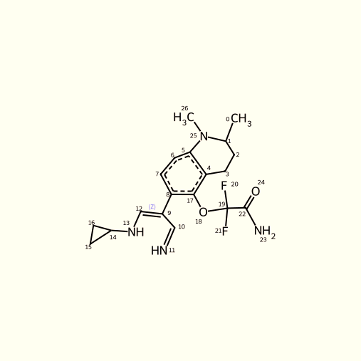 CC1CCc2c(ccc(/C(C=N)=C/NC3CC3)c2OC(F)(F)C(N)=O)N1C